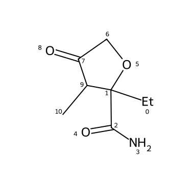 CCC1(C(N)=O)OCC(=O)C1C